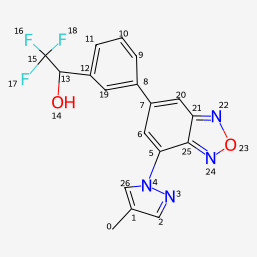 Cc1cnn(-c2cc(-c3cccc(C(O)C(F)(F)F)c3)cc3nonc23)c1